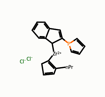 CCCC1=[C]([Zr+2][CH]2C(p3cccc3)=Cc3ccccc32)CC=C1.[Cl-].[Cl-]